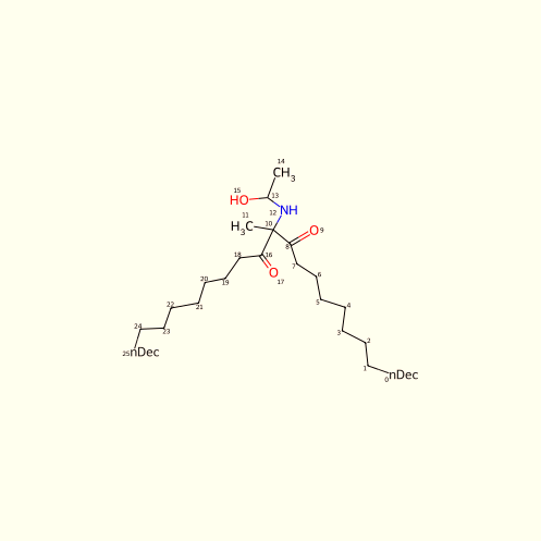 CCCCCCCCCCCCCCCCCC(=O)C(C)(NC(C)O)C(=O)CCCCCCCCCCCCCCCCC